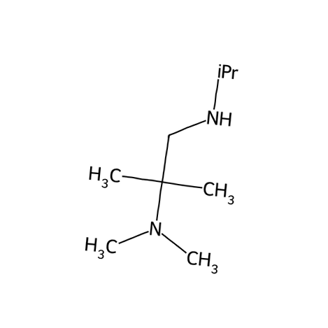 CC(C)NCC(C)(C)N(C)C